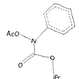 CC(=O)ON(C(=O)OC(C)C)c1ccccc1